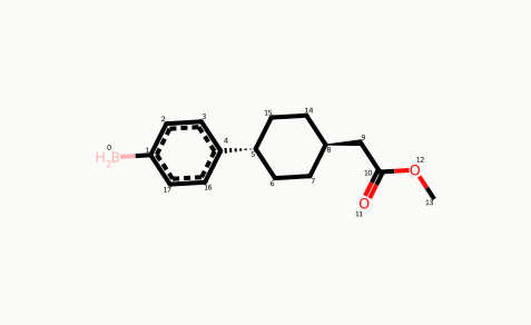 Bc1ccc([C@H]2CC[C@H](CC(=O)OC)CC2)cc1